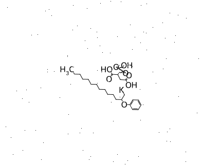 CCCCCCCCCCCCC([CH2][K])Oc1ccccc1.O=C(O)CC(C(=O)O)S(=O)(=O)O